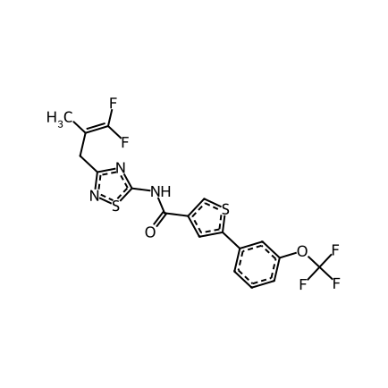 CC(Cc1nsc(NC(=O)c2csc(-c3cccc(OC(F)(F)F)c3)c2)n1)=C(F)F